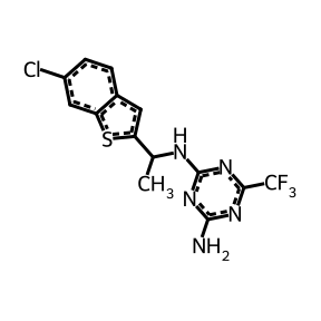 CC(Nc1nc(N)nc(C(F)(F)F)n1)c1cc2ccc(Cl)cc2s1